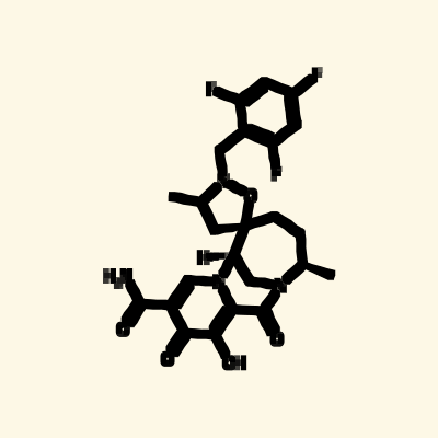 CC1C[C@]2(CC[C@@H](C)N3C[C@H]2n2cc(C(N)=O)c(=O)c(O)c2C3=O)ON1Cc1c(F)cc(F)cc1F